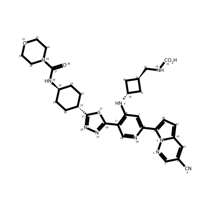 N#Cc1cnn2c(-c3cc(N[C@H]4C[C@H](CNC(=O)O)C4)c(-c4nnc([C@H]5CC[C@H](NC(=O)N6CCOCC6)CC5)s4)cn3)ccc2c1